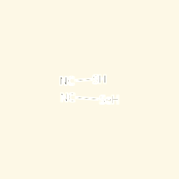 N#CS.N#C[SeH]